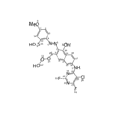 COc1ccc(/N=N/c2c(SOOO)cc3cc(Nc4nc(F)nc(F)c4Cl)ccc3c2O)c(S(=O)(=O)O)c1